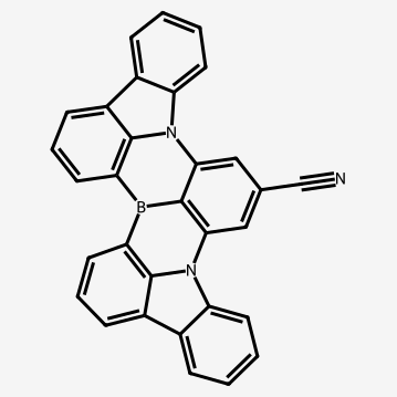 N#Cc1cc2c3c(c1)-n1c4ccccc4c4cccc(c41)B3c1cccc3c4ccccc4n-2c13